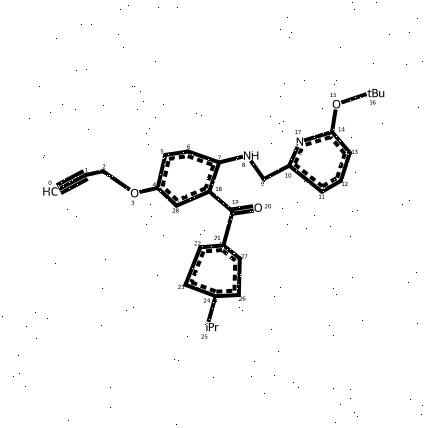 C#CCOc1ccc(NCc2cccc(OC(C)(C)C)n2)c(C(=O)c2ccc(C(C)C)cc2)c1